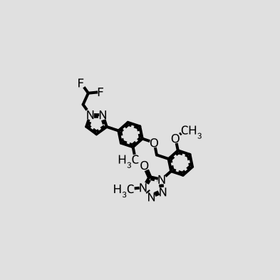 COc1cccc(-n2nnn(C)c2=O)c1COc1ccc(-c2ccn(CC(F)F)n2)cc1C